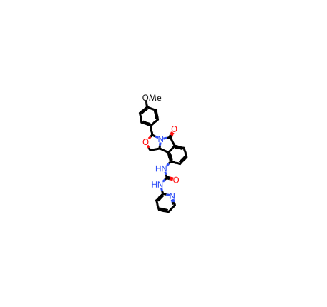 COc1ccc(C2OCC3c4c(NC(=O)Nc5ccccn5)cccc4C(=O)N32)cc1